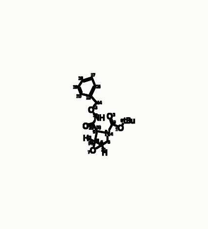 CC(C)(C)OC(=O)N1C[C@@H]2O[C@@H]2[C@H]1C(=O)NOCc1ccccc1